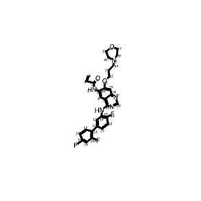 C=CC(=O)Nc1cc2c(Nc3cc(-c4ccc(F)cc4F)ccc3F)ncnc2cc1OCCCN1CCOCC1